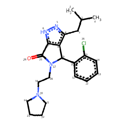 CC(C)Cc1n[nH]c2c1C(c1ccccc1Cl)N(CCN1CCCC1)C2=O